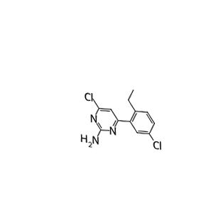 CCc1ccc(Cl)cc1-c1cc(Cl)nc(N)n1